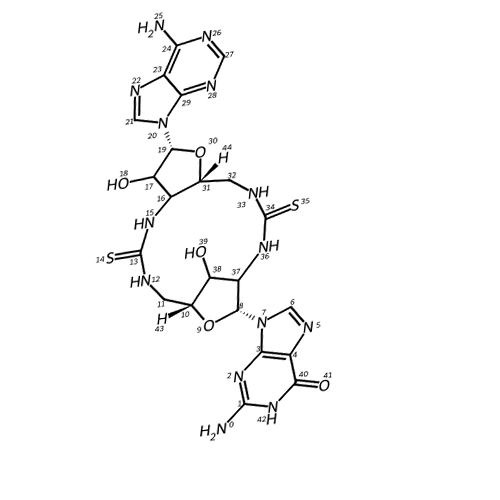 Nc1nc2c(ncn2[C@@H]2O[C@@H]3CNC(=S)NC4C(O)[C@H](n5cnc6c(N)ncnc65)O[C@@H]4CNC(=S)NC2C3O)c(=O)[nH]1